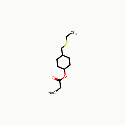 CSCC(=O)OC1CCC(CSCC(F)(F)F)CC1